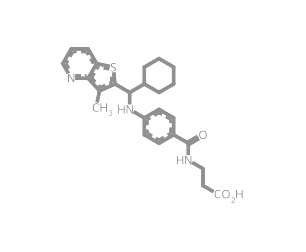 Cc1c(C(Nc2ccc(C(=O)NCCC(=O)O)cc2)C2CCCCC2)sc2cccnc12